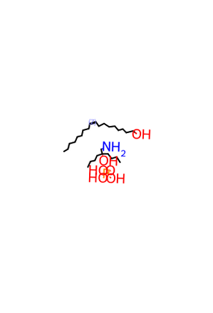 CCCCC(O)(CN)CCCC.CCCCCCCC/C=C\CCCCCCCCO.O=P(O)(O)O